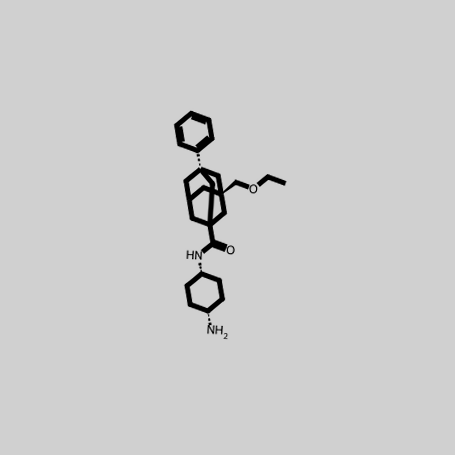 CCOC[C@]12CC3CC(C(=O)N[C@H]4CC[C@@H](N)CC4)(C1)C[C@@](c1ccccc1)(C3)C2